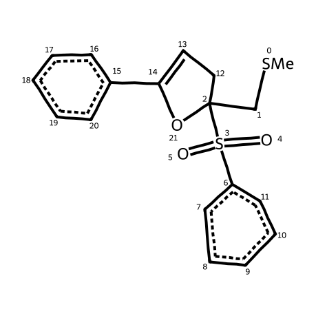 CSCC1(S(=O)(=O)c2ccccc2)CC=C(c2ccccc2)O1